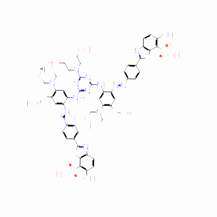 CCN(CC)c1cc(Nc2nc(Nc3cc(N(CC)CC)c(OC)cc3/N=N/c3ccc(-c4nc5ccc(C)c(S(=O)(=O)O)c5s4)cc3)nc(N(CCO)CCO)n2)c(/N=N/c2ccc(-c3nc4ccc(C)c(S(=O)(=O)O)c4s3)cc2)cc1OC